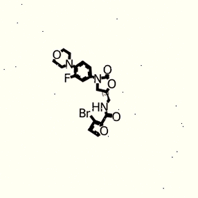 O=C(NC[C@H]1CN(c2ccc(N3CCOCC3)c(F)c2)C(=O)O1)c1occc1Br